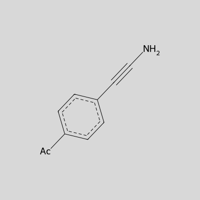 CC(=O)c1ccc(C#CN)cc1